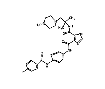 CN1CCN(CC(C)(C)NC(=O)c2[nH]cnc2C(=O)Nc2ccc(NC(=O)c3ccc(F)cc3)cc2)CC1